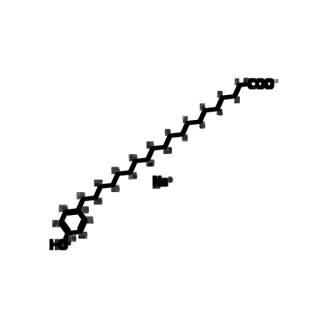 O=C([O-])CCCCCCCCCCCCCCCCCCCc1ccc(O)cc1.[Na+]